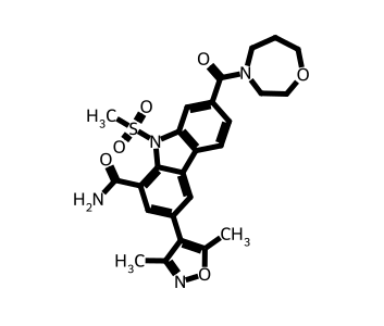 Cc1noc(C)c1-c1cc(C(N)=O)c2c(c1)c1ccc(C(=O)N3CCCOCC3)cc1n2S(C)(=O)=O